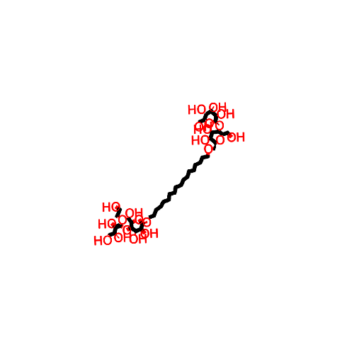 OCCO/C(OC1C(CO)O[C@@H](OCCCCCCCCCCCCCCCCCCOC[C@@H]2OC(CO)C(O[C@@H]3OC(CO)C(O)[C@H](O)C3O)[C@H](O)C2O)C(O)[C@@H]1O)=C(\O)[C@H](O)CO